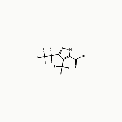 O=C(O)c1[nH]nc(C(F)(F)C(F)(F)F)c1C(F)(F)F